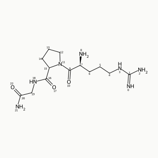 N=C(N)NCCC[C@H](N)C(=O)N1CCCC1C(=O)NCC(N)=O